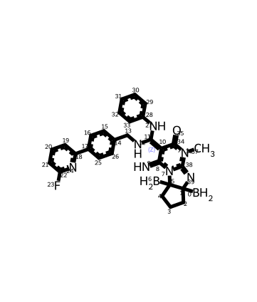 BC12CCCC1(B)n1c(=N)/c(=C(\NCc3ccc(-c4cccc(F)n4)cc3)Nc3ccccc3)c(=O)n(C)c1=N2